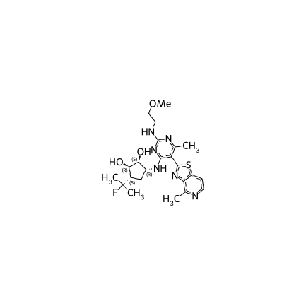 COCCNc1nc(C)c(-c2nc3c(C)nccc3s2)c(N[C@@H]2C[C@H](C(C)(C)F)[C@@H](O)[C@H]2O)n1